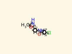 C[C@@H]1CNC[C@H](c2cccc(NC(=O)c3ccc(Cl)cc3)c2)O1